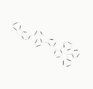 c1ccc(C2(c3ccccc3)c3ccccc3-c3ccc(-c4ccc5c(c4)-c4cccc6c(-c7ccc8oc9ccccc9c8c7)ccc(c46)O5)cc32)cc1